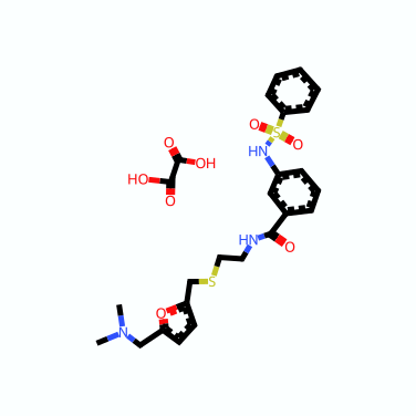 CN(C)Cc1ccc(CSCCNC(=O)c2cccc(NS(=O)(=O)c3ccccc3)c2)o1.O=C(O)C(=O)O